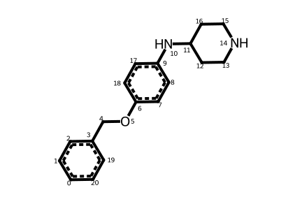 c1ccc(COc2ccc(NC3CCNCC3)cc2)cc1